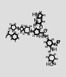 CC(C)c1ccccc1[C@H]1CCC[C@H]1N1CC2(CCN(c3ccc(C(=O)NSc4ccc(NC[C@H]5CC[C@](C)(O)CC5)c(N=O)c4)c(Oc4cc5cc[nH]c5nc4F)c3)CC2)C1